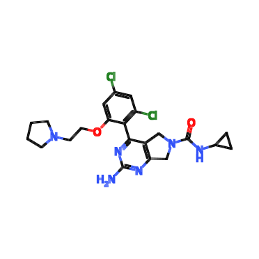 Nc1nc2c(c(-c3c(Cl)cc(Cl)cc3OCCN3CCCC3)n1)CN(C(=O)NC1CC1)C2